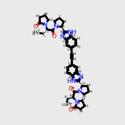 CC(C)C[C@@H](C(=O)N1CCC[C@H]1c1nc2cc(C#Cc3ccc4[nH]c([C@@H]5CCCN5C(=O)[C@H](CC(C)C)N5CCCC5=O)nc4c3)ccc2[nH]1)N1CCCC1=O